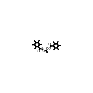 C=C(OOC(=O)c1c(C)c(C)c(C)c(C)c1C)OOC(=O)c1c(C)c(C)c(C)c(C)c1C